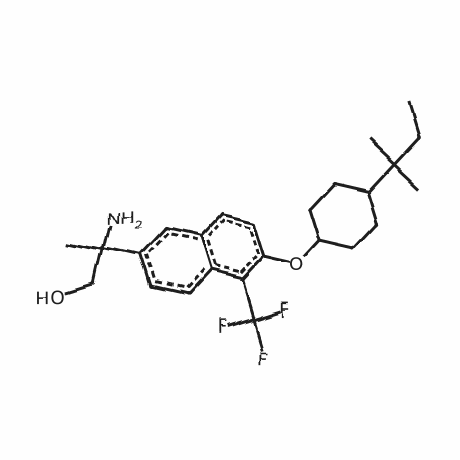 CCC(C)(C)C1CCC(Oc2ccc3cc(C(C)(N)CO)ccc3c2C(F)(F)F)CC1